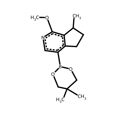 COc1ncc(B2OCC(C)(C)CO2)c2c1C(C)CC2